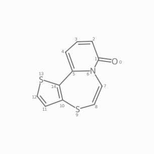 O=c1cccc2n1C=CSc1ccsc1-2